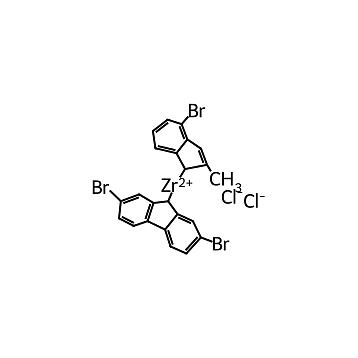 CC1=Cc2c(Br)cccc2[CH]1[Zr+2][CH]1c2cc(Br)ccc2-c2ccc(Br)cc21.[Cl-].[Cl-]